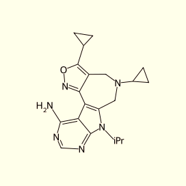 CC(C)n1c2c(c3c(N)ncnc31)-c1noc(C3CC3)c1CN(C1CC1)C2